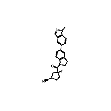 Cn1ncc2cc(-c3ccc4c(c3)CCN4C(=O)C3(F)CCN(C#N)C3)ccc21